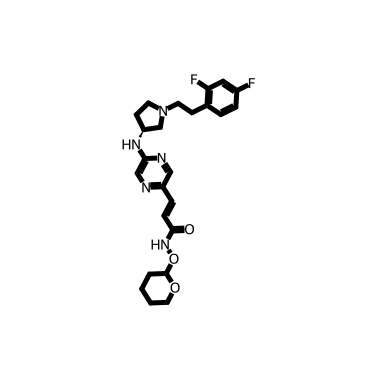 O=C(C=Cc1cnc(N[C@@H]2CCN(CCc3ccc(F)cc3F)C2)cn1)NOC1CCCCO1